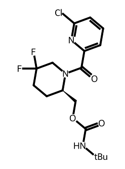 CC(C)(C)NC(=O)OC[C@H]1CCC(F)(F)CN1C(=O)c1cccc(Cl)n1